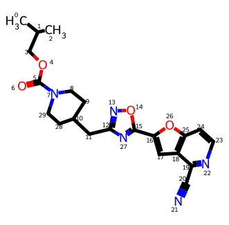 CC(C)COC(=O)N1CCC(Cc2noc(-c3cc4c(C#N)nccc4o3)n2)CC1